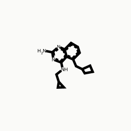 Nc1nc(NCC2CC2)c2c(CC3CCC3)cccc2n1